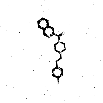 O=C(c1cc2ccccc2cn1)N1CCN(CCc2ccc(F)cc2)CC1